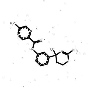 Cc1cnc(C(=O)Nc2cccc(C3(C)CCSC(N)=N3)c2)cn1